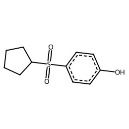 O=S(=O)(c1ccc(O)cc1)C1CCCC1